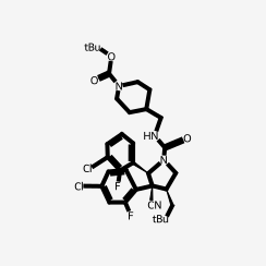 CC(C)(C)C[C@@H]1CN(C(=O)NCC2CCN(C(=O)OC(C)(C)C)CC2)[C@H](c2cccc(Cl)c2F)[C@@]1(C#N)c1ccc(Cl)cc1F